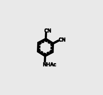 CC(=O)Nc1ccc(C#N)c(C#N)c1